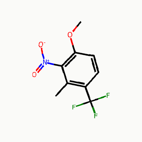 COc1ccc(C(F)(F)F)c(C)c1[N+](=O)[O-]